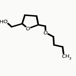 CCCCOCC1CCC(CO)O1